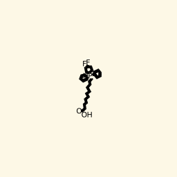 O=C(O)CCCCCCCCCCC[PH](c1ccccc1)(c1ccccc1)C1CCC(F)(F)CC1